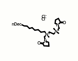 CCCCCCCCCCCCCCCCCC[N+](C)(CC[N+](C)(C)CN1CCCC1=O)CN1CCCC1=O.[Cl-].[Cl-]